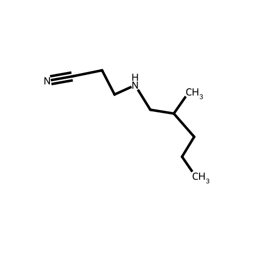 CCCC(C)CNCCC#N